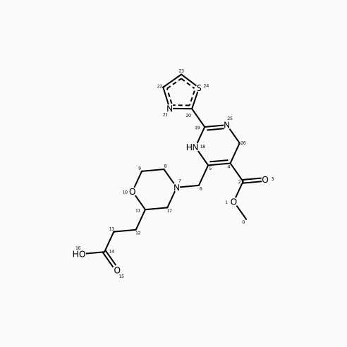 COC(=O)C1=C(CN2CCOC(CCC(=O)O)C2)NC(c2nccs2)=NC1